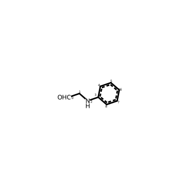 O=CCNc1cc[c]cc1